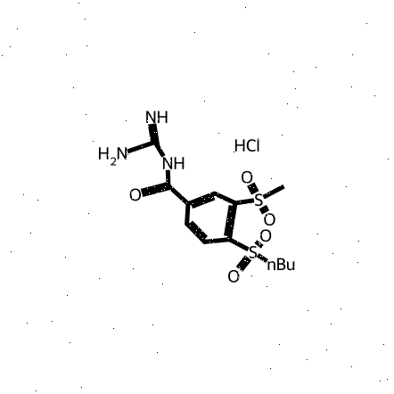 CCCCS(=O)(=O)c1ccc(C(=O)NC(=N)N)cc1S(C)(=O)=O.Cl